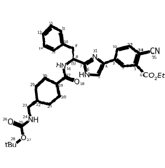 CCOC(=O)c1cc(-c2c[nH]c([C@H](Cc3ccccc3)NC(=O)C3CCC(CNC(=O)OC(C)(C)C)CC3)n2)ccc1C#N